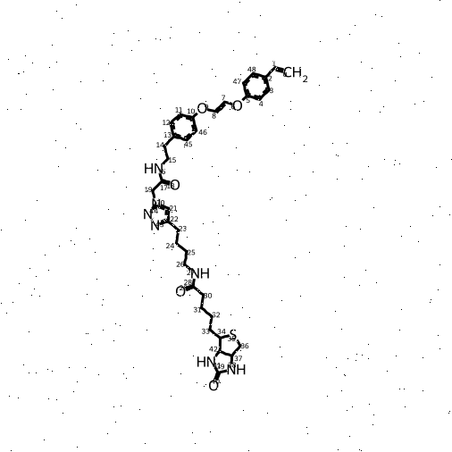 C=Cc1ccc(OC=COc2ccc(CCNC(=O)Cn3cc(CCCCNC(=O)CCCCC4SCC5NC(=O)NC54)nn3)cc2)cc1